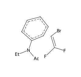 CCN(C(C)=O)c1ccccc1.FC(F)=CBr